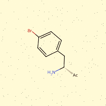 CC(=O)[C@H](N)Cc1ccc(Br)cc1